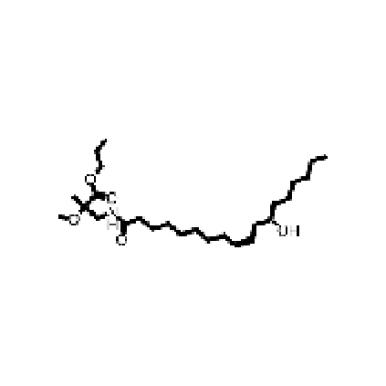 CCCCCC[C@@H](O)C/C=C\CCCCCCCC(=O)NCC(C)(OC)C(=O)OCCC